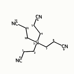 N#CCC[Si](CCC#N)(CCC#N)CCC#N